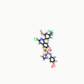 COc1ccc(CN(c2nccs2)S(=O)(=O)c2ccc3c(-c4ccc(C(F)(F)F)cc4OC)nc(Cl)cc3c2)cc1